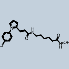 O=C(/C=C/c1cccn1-c1ccc(Cl)cc1)NCCCCCC(=O)NO